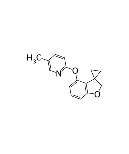 Cc1ccc(Oc2cccc3c2C2(CC2)CO3)nc1